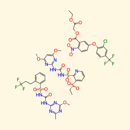 CCOC(=O)COC(=O)c1cc(Oc2ccc(C(F)(F)F)cc2Cl)ccc1[N+](=O)[O-].CCS(=O)(=O)c1cccnc1S(=O)(=O)NC(=O)Nc1nc(OC)cc(OC)n1.COc1nc(C)nc(NC(=O)NS(=O)(=O)c2ccccc2CCC(F)(F)F)n1